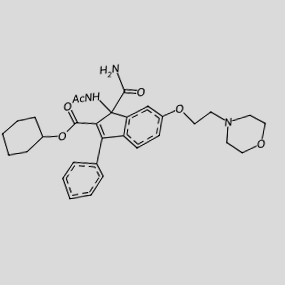 CC(=O)NC1(C(N)=O)C(C(=O)OC2CCCCC2)=C(c2ccccc2)c2ccc(OCCN3CCOCC3)cc21